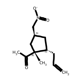 C=CC[C@H]1C[C@H](C[N+](=O)[O-])C[C@@]1(C)C(C)=O